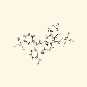 COc1cccc2c1NC(=O)[C@@H](NC(=O)[C@H](CCC(F)(F)F)[C@H](CC1CC1)C(=O)O)N=C2c1cccc(C(F)(F)F)c1